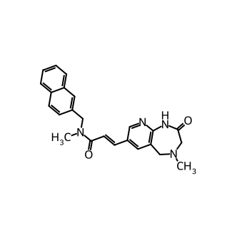 CN1CC(=O)Nc2ncc(/C=C/C(=O)N(C)Cc3ccc4ccccc4c3)cc2C1